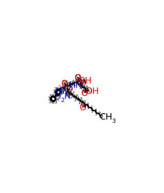 CCCCCCCCCC(=O)CCCCCCC[C@H](N)C(=O)N[C@H](Cc1ccc(-c2ccccc2)cc1)C(=O)CCCC[C@@H](NC(=O)CCC(=O)O)C(=O)O